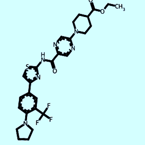 CCOC(=O)C1CCN(c2cnc(C(=O)Nc3nc(-c4ccc(N5CCCC5)c(C(F)(F)F)c4)cs3)cn2)CC1